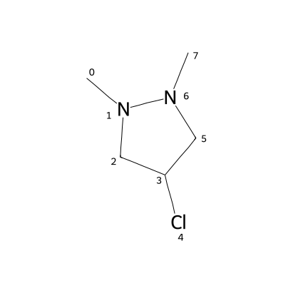 CN1CC(Cl)CN1C